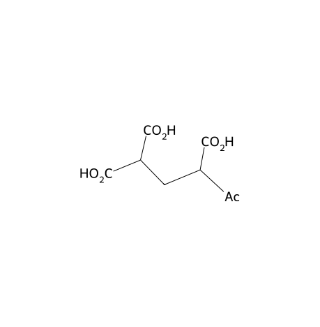 CC(=O)C(CC(C(=O)O)C(=O)O)C(=O)O